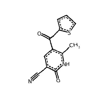 Cc1[nH]c(=O)c(C#N)cc1C(=O)c1cccs1